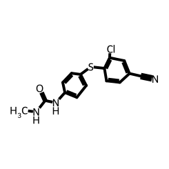 CNC(=O)Nc1ccc(Sc2ccc(C#N)cc2Cl)cc1